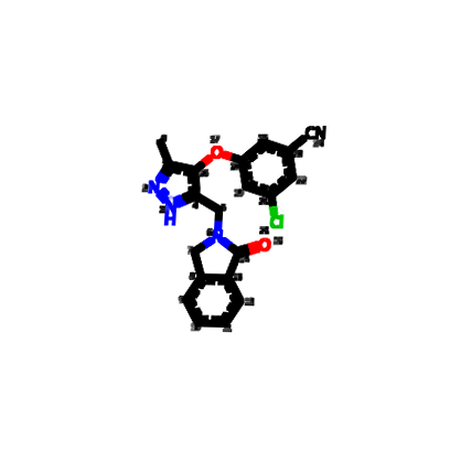 Cc1n[nH]c(CN2Cc3ccccc3C2=O)c1Oc1cc(Cl)cc(C#N)c1